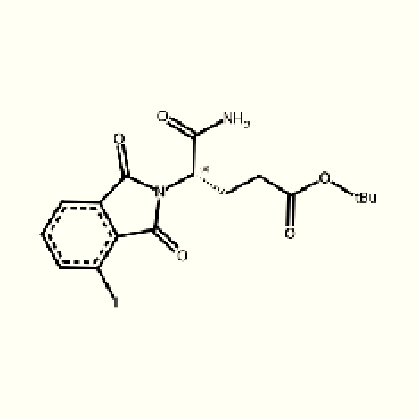 CC(C)(C)OC(=O)CC[C@@H](C(N)=O)N1C(=O)c2cccc(I)c2C1=O